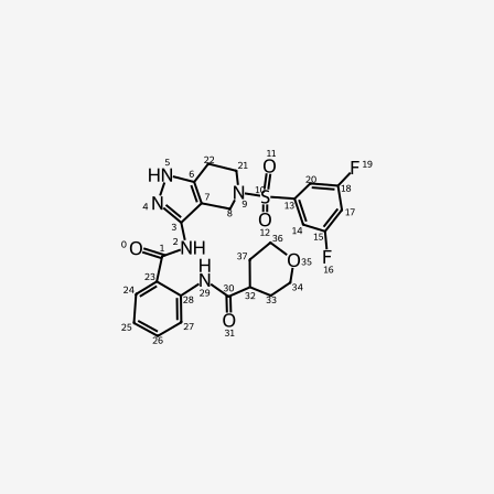 O=C(Nc1n[nH]c2c1CN(S(=O)(=O)c1cc(F)cc(F)c1)CC2)c1ccccc1NC(=O)C1CCOCC1